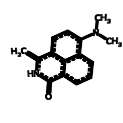 C=c1[nH]c(=O)c2cccc3c(N(C)C)ccc1c32